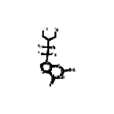 [2H]C([2H])(C(CO)CO)C([2H])([2H])n1cnc2c(=O)[nH]c(N)nc21